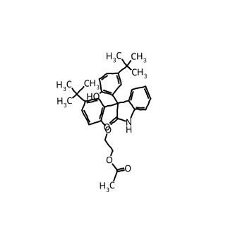 CC(=O)OCCOc1ccc(C(C)(C)C)cc1C1(c2cc(C(C)(C)C)ccc2O)C(=O)Nc2ccccc21